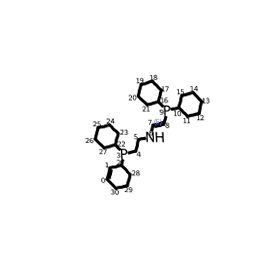 C1=CC(P(CCN/C=C/P(C2CCCCC2)C2CCCCC2)C2CCCCC2)CCC1